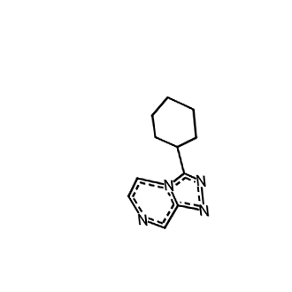 c1cn2c(C3CCCCC3)nnc2cn1